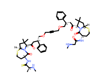 CNCC(=O)N[C@H]1CCS[C@H]2CC(C)(C)[C@@H](C(=O)C[C@H](COCC#CCOC[C@@H](CC(=O)[C@H]3N4C(=O)[C@@H](NC(=S)[C@H](C)NC)CCS[C@H]4CC3(C)C)c3ccccc3)c3ccccc3)N2C1=O